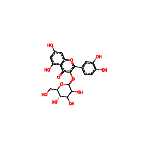 O=c1c(O[C@@H]2OC(CO)[C@@H](O)C(O)C2O)c(-c2ccc(O)c(O)c2)oc2cc(O)cc(O)c12